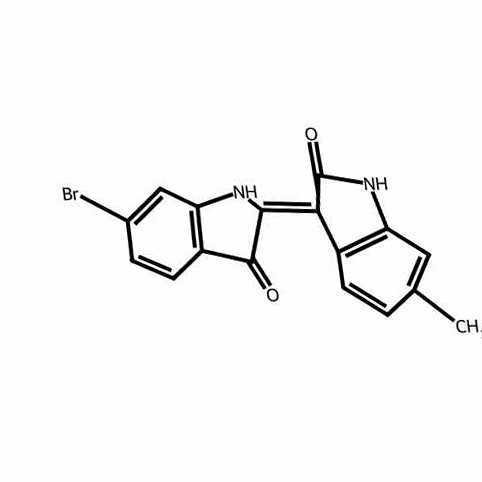 Cc1ccc2c(c1)NC(=O)/C2=C1\Nc2cc(Br)ccc2C1=O